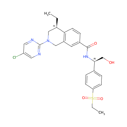 CC[C@@H]1CN(c2ncc(Cl)cn2)Cc2cc(C(=O)N[C@@H](CO)c3ccc(S(=O)(=O)CC)cc3)ccc21